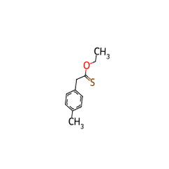 CCOC(=S)Cc1ccc(C)cc1